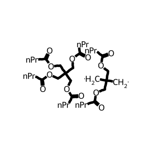 CCCC(=O)OCC(COC(=O)CCC)(COC(=O)CCC)COC(=O)CCC.[CH2]C([CH2])(COC(=O)CCC)COC(=O)CCC